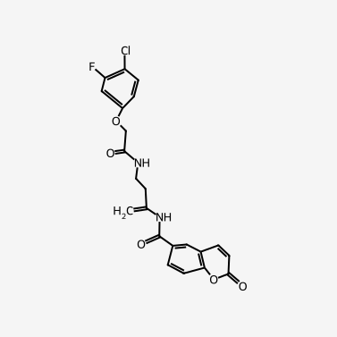 C=C(CCNC(=O)COc1ccc(Cl)c(F)c1)NC(=O)c1ccc2oc(=O)ccc2c1